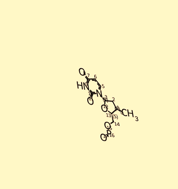 C[C@@H]1C[C@H](n2ccc(=O)[nH]c2=O)O[C@@H]1COP=O